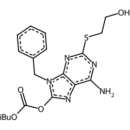 CC(C)COC(=O)Oc1nc2c(N)nc(SCCO)nc2n1Cc1ccccc1